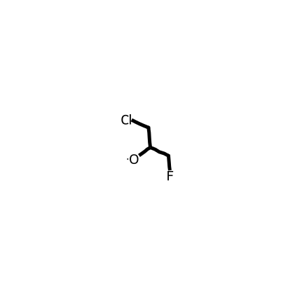 [O]C(CF)CCl